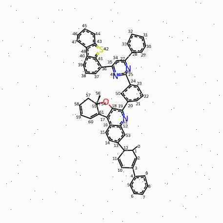 CC1C=C(c2ccccc2)C=CC1c1ccc2c3c(c(-c4cccc(-c5nc(-c6ccccc6)cc(-c6cccc7c6sc6ccccc67)n5)c4)nc2c1)O[C@@]1(C)CC=CC=C31